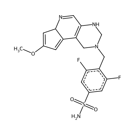 COC1=CC2N=CC3=C(CN(Cc4c(F)cc(S(N)(=O)=O)cc4F)CN3)C2=C1